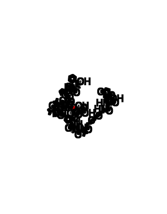 CC[C@H](C)[C@@H]([C@@H](CC(=O)N1CCC[C@H]1[C@H](OC)[C@@H](C)C(=O)N[C@H](C)[C@@H](O)c1ccccc1)OC)N(C)C(=O)[C@@H](NC(=O)[C@H](C(C)C)N(C)C(=O)OCc1ccc(NC(=O)[C@H](C)NC(=O)[C@@H](NC(=O)CCOCCOCCNC(=O)[C@H](CS(=O)(=O)O)NC(=O)CN2C(=O)C=CC2=O)C(C)C)c(O[C@@H]2O[C@H](C(=O)O)[C@@H](O)[C@H](O)[C@H]2O)c1)C(C)C